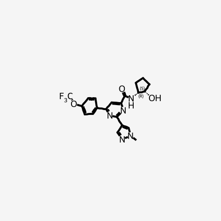 Cn1cc(-c2nc(C(=O)N[C@@H]3CCC[C@@H]3O)cc(-c3ccc(OC(F)(F)F)cc3)n2)cn1